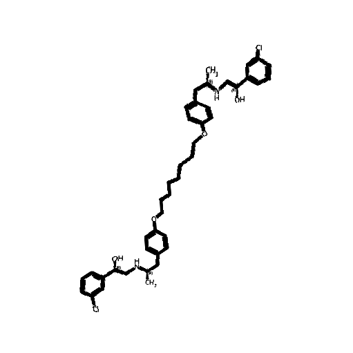 C[C@H](Cc1ccc(OCCCCCCCCOc2ccc(C[C@@H](C)NC[C@H](O)c3cccc(Cl)c3)cc2)cc1)NC[C@H](O)c1cccc(Cl)c1